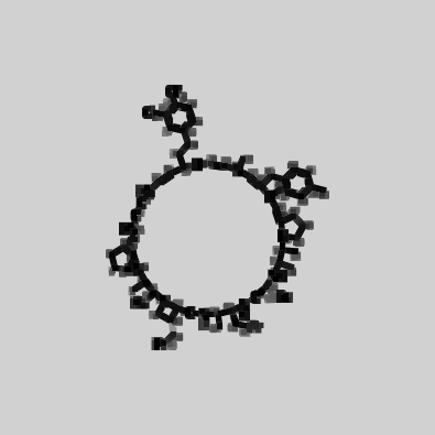 CC[C@H](C)[C@H]1C(C)NC2(CCCC2)CNCCNC=CC(CCc2ccc(C(F)(F)F)c(Cl)c2)=NC=CN(C)C=C(Cc2ccc(C)cc2)N(C)C=C2CCCN2[C@@H](C)C(C)N[C@@H]([C@@H](C)CC)CN[C@@H](CC(C)C)C(C)NCC2[C@H](CC(C)C)CN21